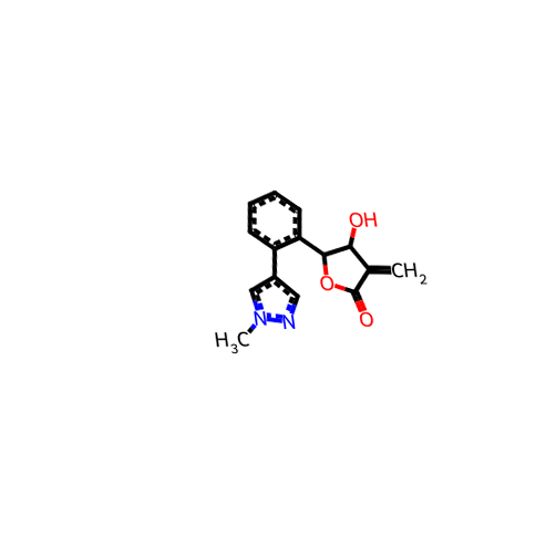 C=C1C(=O)OC(c2ccccc2-c2cnn(C)c2)C1O